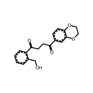 O=C(CCC(=O)c1ccccc1CO)c1ccc2c(c1)OCCO2